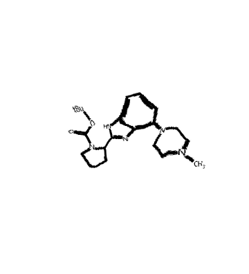 CN1CCN(c2cccc3[nH]c(C4CCCN4C(=O)OC(C)(C)C)nc23)CC1